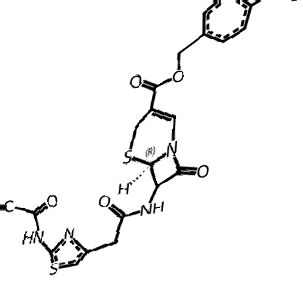 O=C(Cc1csc(NC(=O)C(F)(F)F)n1)NC1C(=O)N2C=C(C(=O)OCc3ccc([N+](=O)[O-])cc3)CS[C@H]12